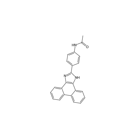 CC(=O)Nc1ccc(-c2nc3c4ccccc4c4ccccc4c3[nH]2)cc1